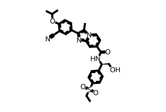 CCS(=O)(=O)c1ccc([C@H](CO)NC(=O)c2ccn3c(C)c(-c4ccc(OC(C)C)c(C#N)c4)nc3c2)cc1